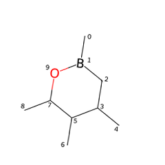 CB1CC(C)C(C)C(C)O1